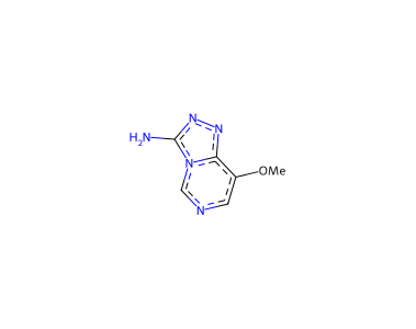 COc1cncn2c(N)nnc12